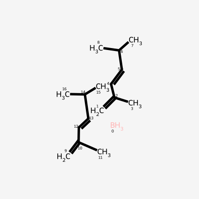 B.C=C(C)C=CC(C)C.C=C(C)C=CC(C)C